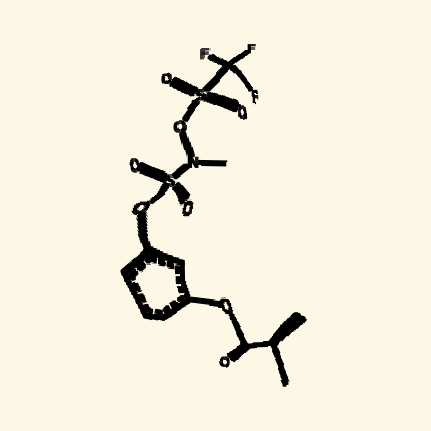 C=C(C)C(=O)Oc1cccc(OS(=O)(=O)N(C)OS(=O)(=O)C(F)(F)F)c1